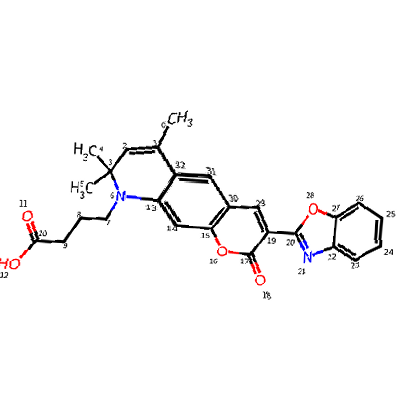 CC1=CC(C)(C)N(CCCC(=O)O)c2cc3oc(=O)c(-c4nc5ccccc5o4)cc3cc21